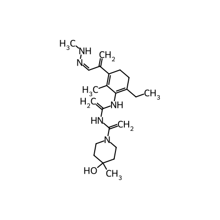 C=C(NC(=C)N1CCC(C)(O)CC1)NC1=C(CC)CCC(C(=C)/C=N\NC)=C1C